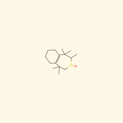 CC1[S+]([O-])CC(C)(C)C2=C(CCCC2)C1(C)C